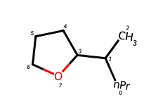 CCCC(C)C1CCCO1